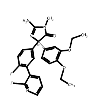 CCOc1ccc([C@]2(c3ccc(F)c(-c4cccnc4F)c3)N=C(N)N(C)C2=O)cc1OCC